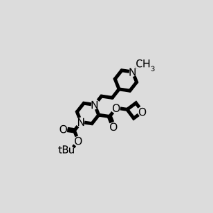 CN1CCC(CCN2CCN(C(=O)OC(C)(C)C)CC2C(=O)OC2COC2)CC1